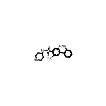 CC(=O)Nc1ccccc1-c1ccc(S(=O)(=O)NC2CCNCC2)c(C(F)(F)F)c1